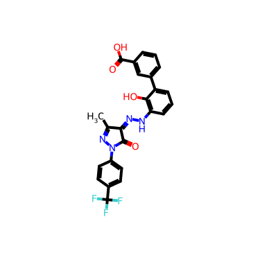 CC1=NN(c2ccc(C(F)(F)F)cc2)C(=O)/C1=N\Nc1cccc(-c2cccc(C(=O)O)c2)c1O